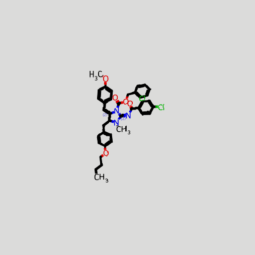 CCCCOc1ccc(CC2/C(=C/c3ccc(OC)cc3)N(C(=O)OCc3ccccc3)/C(=N\C(=O)c3ccc(Cl)cc3Cl)N2C)cc1